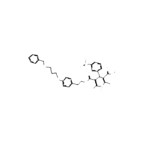 COC(=O)C1=C(C)NC(C)=C(C(=O)OCCc2ccc(OCCCOCc3ccccc3)cc2)C1c1cccc([N+](=O)[O-])c1